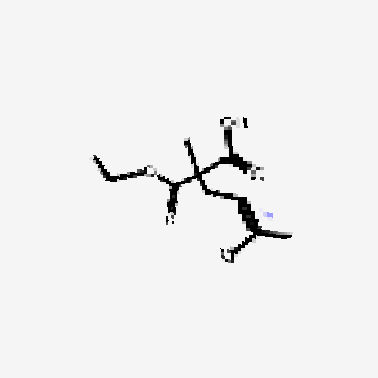 CCOC(=O)C(C)(C/C=C(/C)Cl)C(=O)O